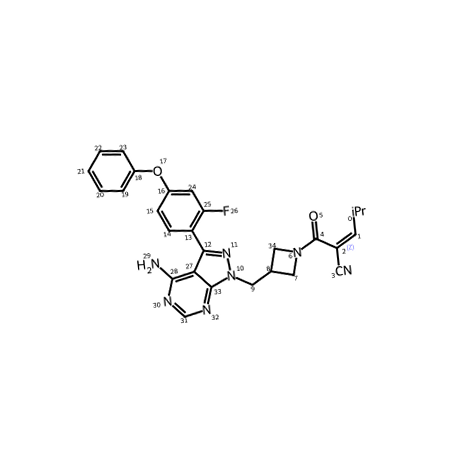 CC(C)/C=C(/C#N)C(=O)N1CC(Cn2nc(-c3ccc(Oc4ccccc4)cc3F)c3c(N)ncnc32)C1